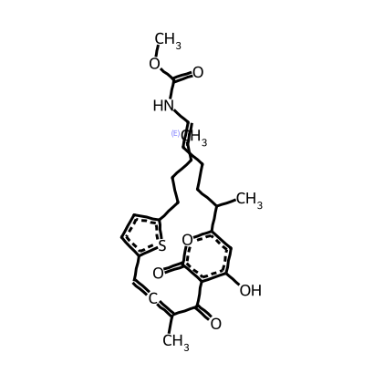 CCCCc1ccc(C=C=C(C)C(=O)c2c(O)cc(C(C)CC/C=C/NC(=O)OC)oc2=O)s1